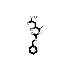 C[C@@H](NC(=O)OCc1ccccc1)C(O)CC(=O)C(=O)O